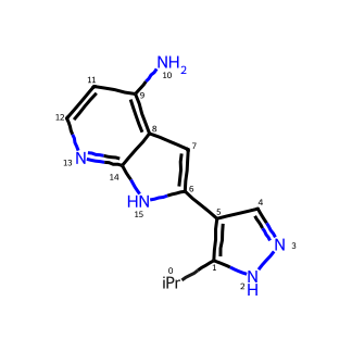 CC(C)c1[nH]ncc1-c1cc2c(N)ccnc2[nH]1